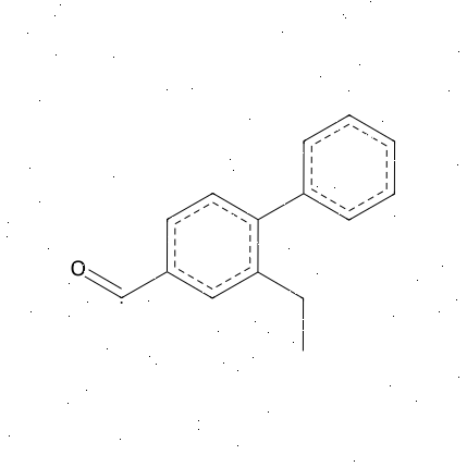 CCc1cc([C]=O)ccc1-c1ccccc1